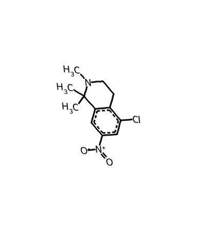 CN1CCc2c(Cl)cc([N+](=O)[O-])cc2C1(C)C